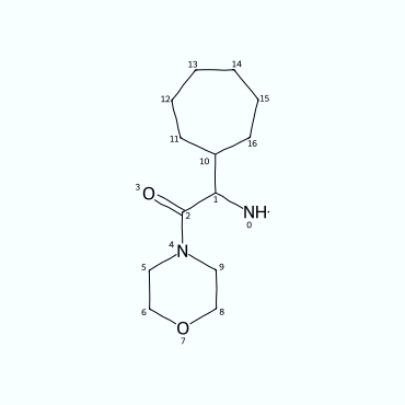 [NH]C(C(=O)N1CCOCC1)C1CCCCCC1